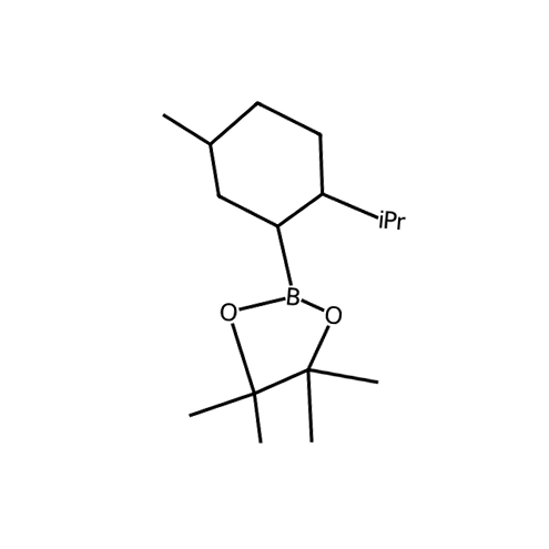 CC1CCC(C(C)C)C(B2OC(C)(C)C(C)(C)O2)C1